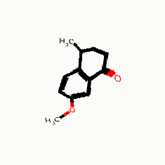 COc1ccc2c(c1)C(=O)CCC2C